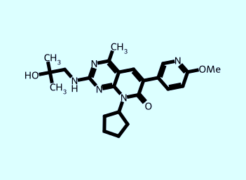 COc1ccc(-c2cc3c(C)nc(NCC(C)(C)O)nc3n(C3CCCC3)c2=O)cn1